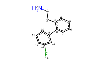 NCCc1ccccc1-c1cccc(F)c1